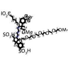 COCCOCCOCCOCCOCCOCC[N+]1=C(/C=C/C=C/C=C2/N(CCCCCC(=O)O)c3ccc(S(=O)(=O)[O-])cc3C2(C)CCOC)C(C)(CCCS(=O)(=O)O)c2cc(S(=O)(=O)O)ccc21